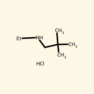 CCNCC(C)(C)C.Cl